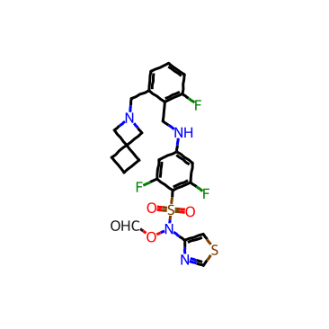 O=CON(c1cscn1)S(=O)(=O)c1c(F)cc(NCc2c(F)cccc2CN2CC3(CCC3)C2)cc1F